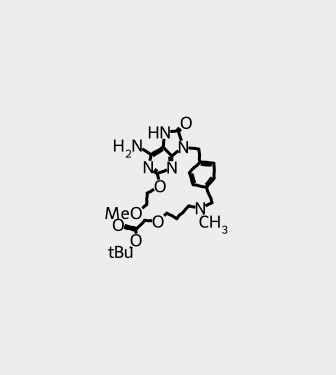 COCCOc1nc(N)c2[nH]c(=O)n(Cc3ccc(CN(C)CCCOCC(=O)OC(C)(C)C)cc3)c2n1